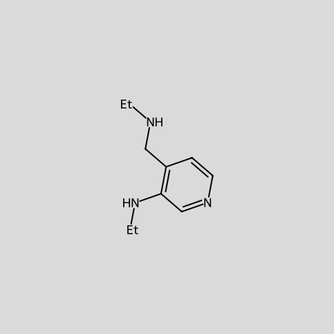 CCNCc1ccncc1NCC